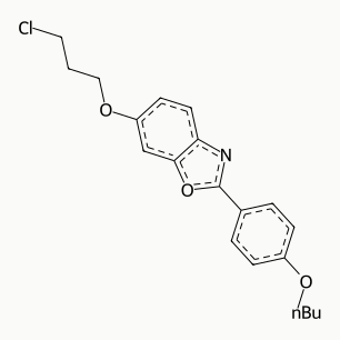 CCCCOc1ccc(-c2nc3ccc(OCCCCl)cc3o2)cc1